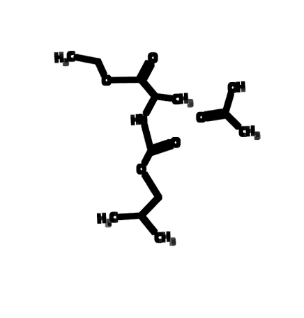 CC(=O)O.CCOC(=O)C(C)NC(=O)OCC(C)C